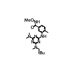 CONC(=O)c1ccc(C)c(Nc2nc(N(C)C)nc(N(C)CC(C)(C)C)n2)c1